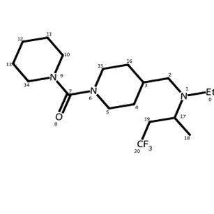 CCN(CC1CCN(C(=O)N2CCCCC2)CC1)C(C)CC(F)(F)F